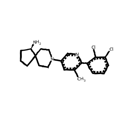 Cc1cc(N2CCC3(CCC[C@H]3N)CC2)[c]nc1-c1cccc(Cl)c1Cl